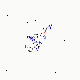 Cc1cc(F)cc(-c2nccc3[nH]c(-c4n[nH]c5ccc(-c6cncc(OCCN7CCCC7)c6)cc45)cc23)c1